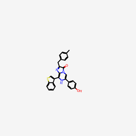 Cc1ccc(Cc2nc3c(-c4csc5ccccc45)[nH]c(-c4ccc(O)cc4)cn-3c2=O)cc1